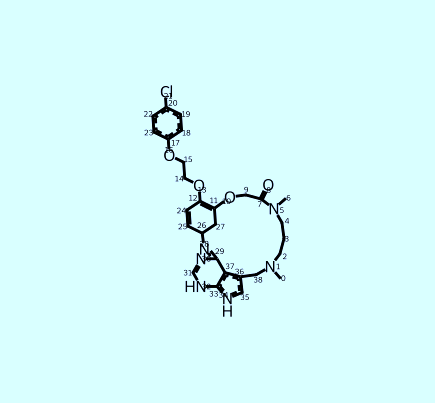 CN1CCCN(C)C(=O)COC2=C(OCCOc3ccc(Cl)cc3)C=CC(C2)/N=C2\N=CNc3[nH]cc(c32)C1